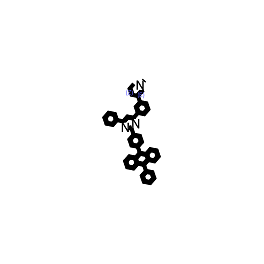 C=N/C=C(\C=C/C)c1cccc(-c2cc(-c3ccccc3)nc(-c3ccc(-c4c5ccccc5c(-c5ccccc5)c5ccccc45)cc3)n2)c1